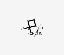 CC1(F)CCC1.O=CO